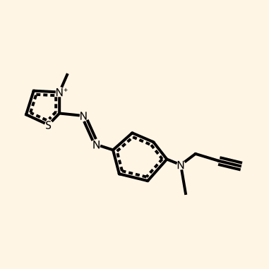 C#CCN(C)c1ccc(/N=N/c2scc[n+]2C)cc1